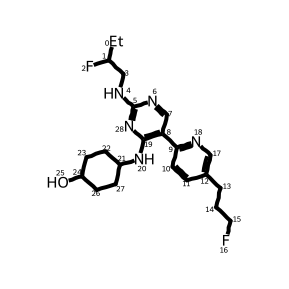 CCC(F)CNc1ncc(-c2ccc(CCCF)cn2)c(NC2CCC(O)CC2)n1